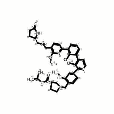 COc1cc(-c2nccc(-c3cccc(-c4ccc(CNC[C@H]5CCC(=O)N5)c(OC)n4)c3Cl)c2Cl)ccc1CN1CC[C@H](C(=O)OC(C)C)C1